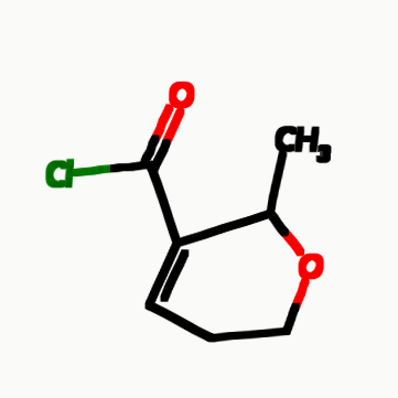 CC1OCCC=C1C(=O)Cl